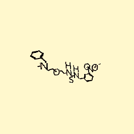 CN(CCOCCNC(=S)NCc1cccc([N+](=O)[O-])c1)Cc1ccccc1